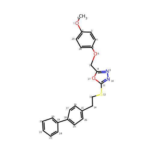 COc1ccc(OCc2nnc(SCCc3ccc(-c4ccccc4)cc3)o2)cc1